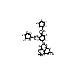 Cc1cc(O)c2c(c1)C[C@@H](c1ccc(OCc3ccccc3)c(OCc3ccccc3)c1)CC2=O